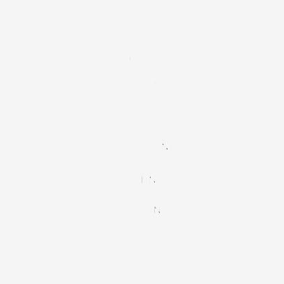 CC(CN1CCC(c2cccc3c2OCCO3)CC1)Nc1ccccn1